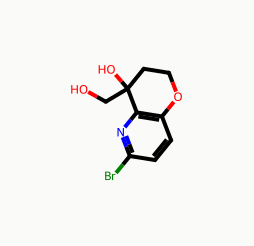 OCC1(O)CCOc2ccc(Br)nc21